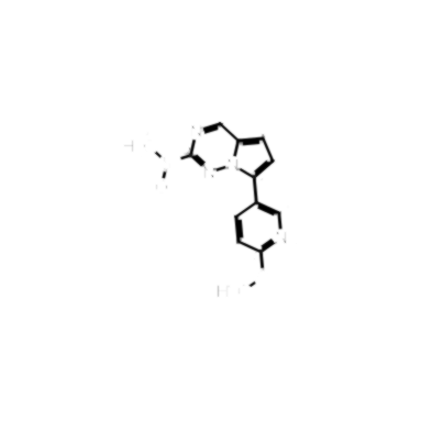 COc1ccc(-c2ccc3cnc([S+](C)[O-])nn23)cn1